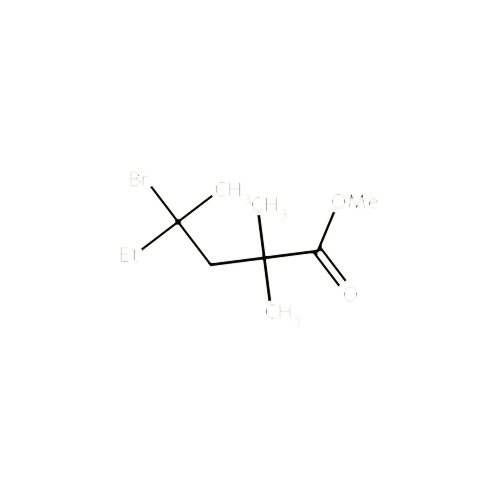 CCC(C)(Br)CC(C)(C)C(=O)OC